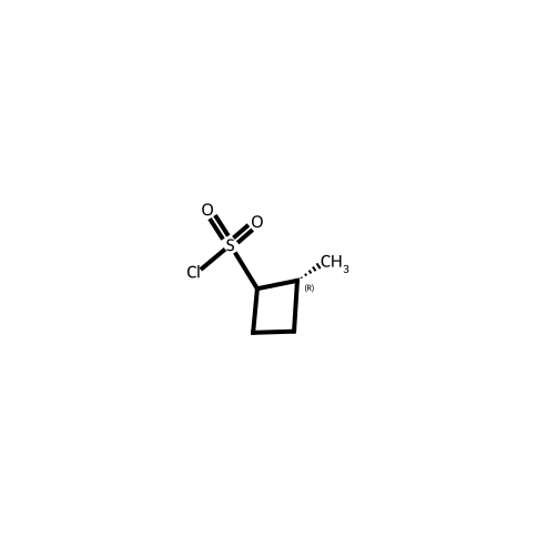 C[C@@H]1CCC1S(=O)(=O)Cl